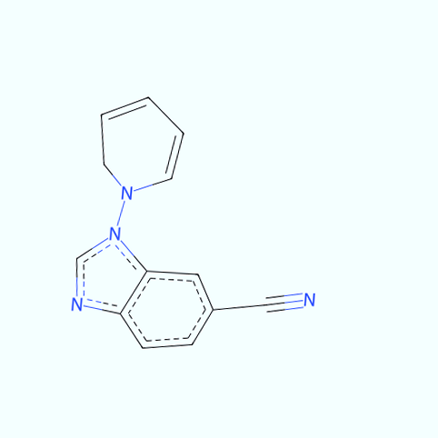 N#Cc1ccc2ncn(N3C=CC=CC3)c2c1